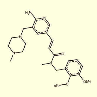 CCCOc1c(CN(C)C(=O)C=Cc2cnc(N)c(CN3CCN(C)CC3)c2)cccc1OC